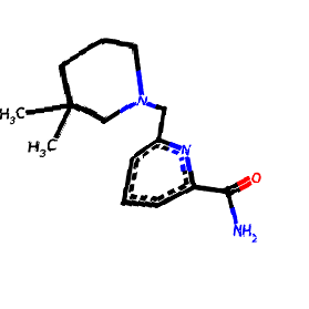 CC1(C)CCCN(Cc2cccc(C(N)=O)n2)C1